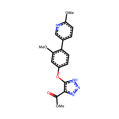 COC(=O)c1nn[nH]c1Oc1ccc(-c2ccc(OC)nc2)c(OC)c1